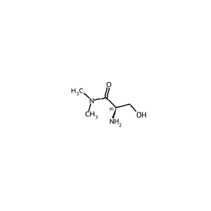 CN(C)C(=O)[C@H](N)CO